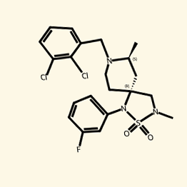 C[C@H]1C[C@]2(CCN1Cc1cccc(Cl)c1Cl)CN(C)S(=O)(=O)N2c1cccc(F)c1